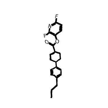 CCCc1ccc(C2CCC(C(=O)Oc3ccc(F)nc3F)CC2)cc1